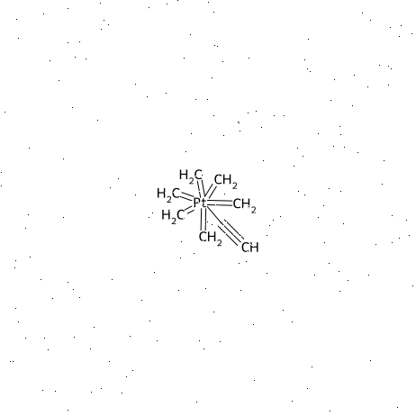 C#[C][Pt](=[CH2])(=[CH2])(=[CH2])(=[CH2])(=[CH2])=[CH2]